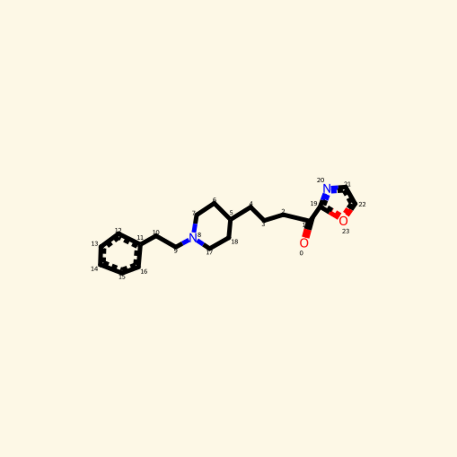 O=C(CCCC1CCN(CCc2ccccc2)CC1)c1ncco1